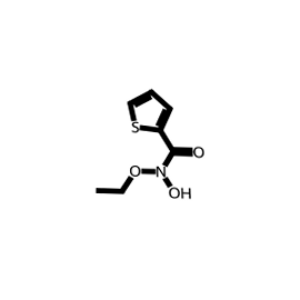 CCON(O)C(=O)c1cccs1